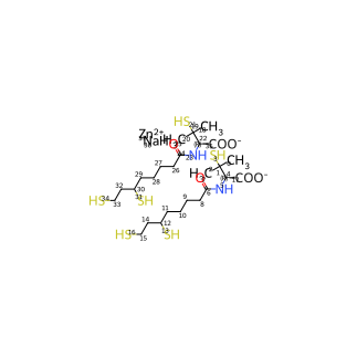 CC(C)(S)[C@H](NC(=O)CCCCC(S)CCS)C(=O)[O-].CC(C)(S)[C@H](NC(=O)CCCCC(S)CCS)C(=O)[O-].[NaH].[Zn+2]